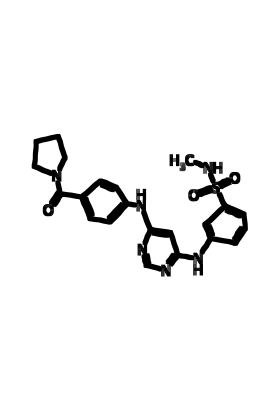 CNS(=O)(=O)c1cccc(Nc2cc(Nc3ccc(C(=O)N4CCCC4)cc3)ncn2)c1